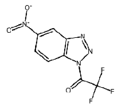 O=C(n1nnc2cc([N+](=O)[O-])ccc21)C(F)(F)F